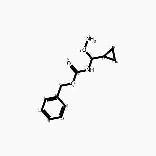 NOC(NC(=O)OCc1ccccc1)C1CC1